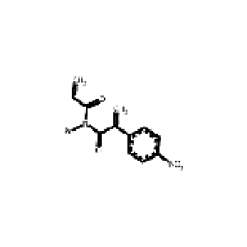 C=CC(=O)N(C(=O)C(=C)c1ccc([N+](=O)[O-])cc1)C(C)C